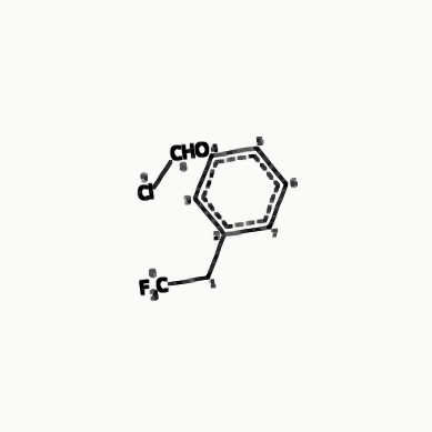 FC(F)(F)Cc1ccccc1.O=CCl